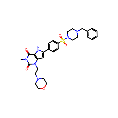 Cn1c(=O)c2[nH]c(-c3ccc(S(=O)(=O)N4CCN(Cc5ccccc5)CC4)cc3)cc2n(CCN2CCOCC2)c1=O